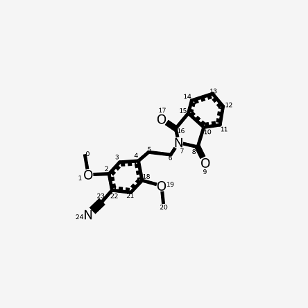 COc1cc(CCN2C(=O)c3ccccc3C2=O)c(OC)cc1C#N